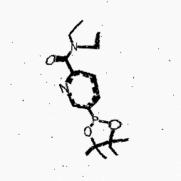 CCN(CC)C(=O)c1ccc(P2OC(C)(C)C(C)(C)O2)cn1